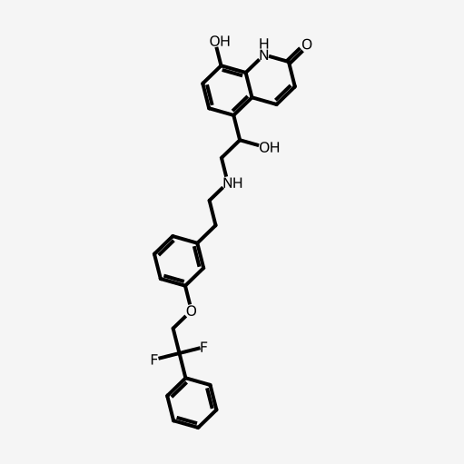 O=c1ccc2c(C(O)CNCCc3cccc(OCC(F)(F)c4ccccc4)c3)ccc(O)c2[nH]1